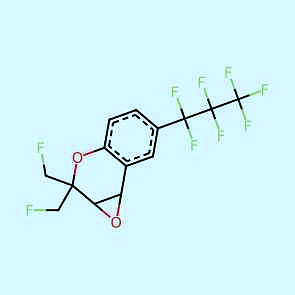 FCC1(CF)Oc2ccc(C(F)(F)C(F)(F)C(F)(F)F)cc2C2OC21